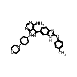 Cc1ccc(Oc2nc3ccc(-c4nn([C@H]5CC[C@H](N6CCOCC6)CC5)c5ncnc(N)c45)cc3[nH]2)cc1